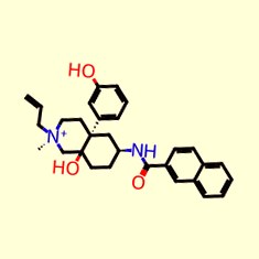 C=CC[N@@+]1(C)CC[C@@]2(c3cccc(O)c3)C[C@@H](NC(=O)c3ccc4ccccc4c3)CCC2(O)C1